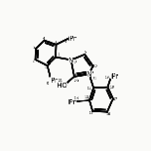 CC(C)c1cccc(C(C)C)c1-n1cc[n+](-c2c(C(C)C)cccc2C(C)C)c1O